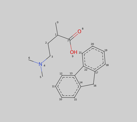 CC(CCN(C)C)C(=O)O.c1ccc2c(c1)Cc1ccccc1-2